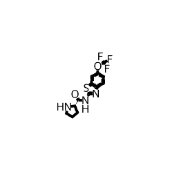 O=C(Nc1nc2ccc(OC(F)(F)F)cc2s1)[C@@H]1CCCN1